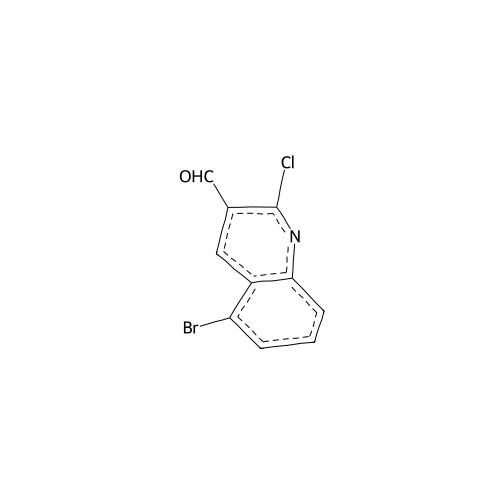 O=Cc1cc2c(Br)cccc2nc1Cl